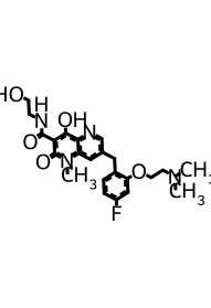 CN(C)CCOc1cc(F)ccc1Cc1cnc2c(O)c(C(=O)NCCO)c(=O)n(C)c2c1